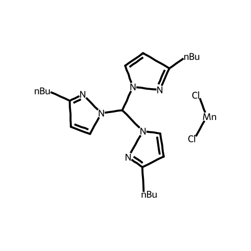 CCCCc1ccn(C(n2ccc(CCCC)n2)n2ccc(CCCC)n2)n1.[Cl][Mn][Cl]